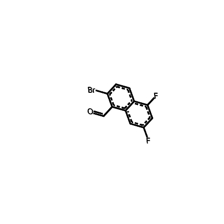 O=Cc1c(Br)ccc2c(F)cc(F)cc12